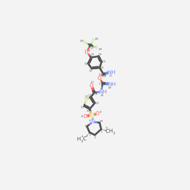 C[C@@H]1C[C@H](C)CN(S(=O)(=O)c2csc(C(=O)NC(=N)OC(=N)c3ccc(OC(F)(F)F)cc3)c2)C1